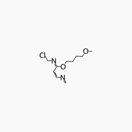 C=N/C=C\C(=N/CCl)OCCCCOC